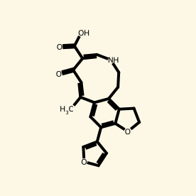 C/C1=C\C(=O)/C(C(=O)O)=C\NCCc2c1cc(-c1ccoc1)c1c2CCO1